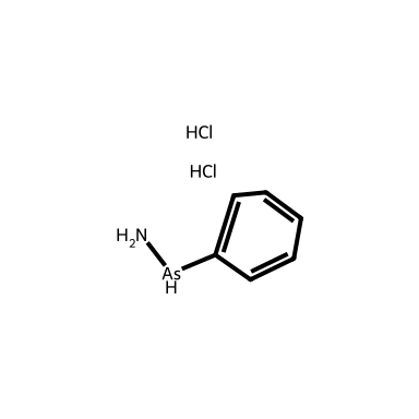 Cl.Cl.N[AsH]c1ccccc1